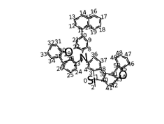 C[Si]1(C)c2cc(N(c3ccc(-c4cccc5ccccc45)cc3)c3cccc4c3oc3ccccc34)ccc2-c2c1ccc1oc3ccccc3c21